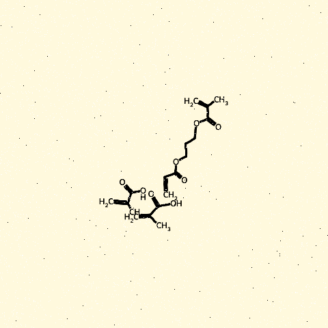 C=C(C)C(=O)O.C=C(C)C(=O)O.C=CC(=O)OCCCOC(=O)C(=C)C